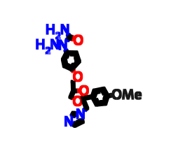 COc1ccc(C2(Cn3ccnc3)OCC(COc3ccc(N(N)C(N)=O)cc3)O2)cc1